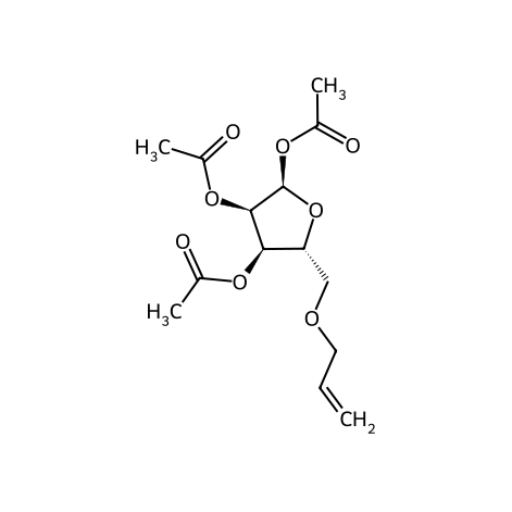 C=CCOC[C@H]1O[C@H](OC(C)=O)[C@H](OC(C)=O)[C@@H]1OC(C)=O